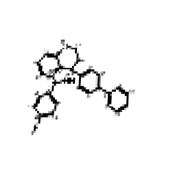 O=C(N[C@@]1(c2ccc(-c3ccccc3)cc2)CCOc2cccnc21)c1ccc(F)cc1